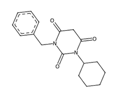 O=C1CC(=O)N(C2CCCCC2)C(=O)N1Cc1ccccc1